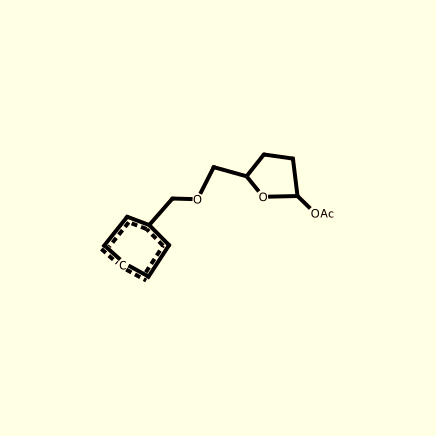 CC(=O)OC1CCC(COCc2ccccc2)O1